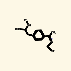 C/C(=N/CC(C)C)c1ccc(CC(C=O)NC(C)C)cc1